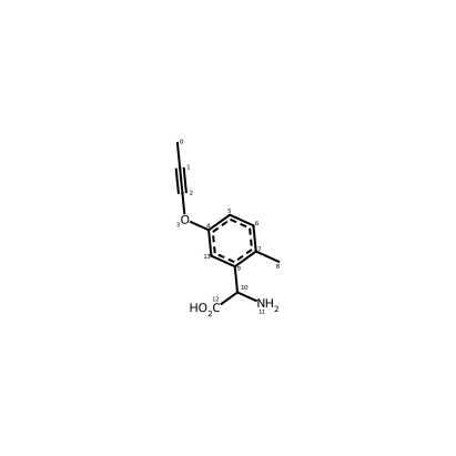 CC#COc1ccc(C)c(C(N)C(=O)O)c1